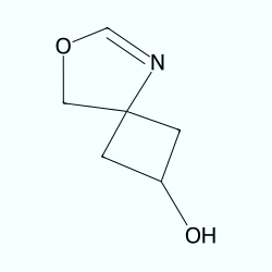 OC1CC2(COC=N2)C1